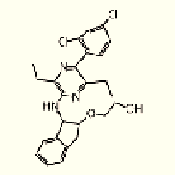 CCc1nc(-c2ccc(Cl)cc2Cl)c(CC)nc1N[C@@H]1c2ccccc2C[C@@H]1OCCO